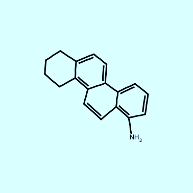 Nc1cccc2c1ccc1c3c(ccc12)CCCC3